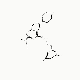 CN(C)c1nc(NCCc2cc(N)cc(C(F)(F)F)c2)c2cc(C3CCOCC3)ncc2n1